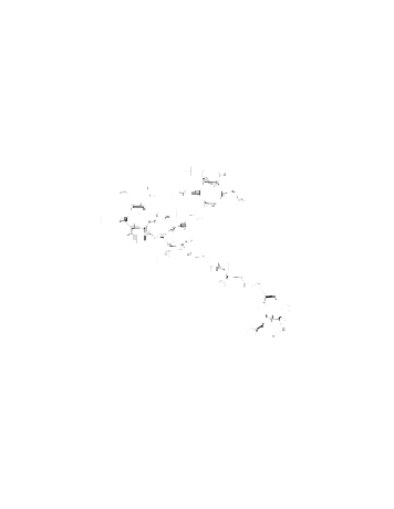 O=C(COCC(=O)ON1C(=O)CCC1=O)NCCO[C@H]1O[C@H](CO[C@H]2O[C@H](CO)[C@@H](O)[C@H](O)[C@@H]2O)[C@@H](O)[C@H](O[C@H]2O[C@H](CO)[C@@H](O)[C@H](O)[C@@H]2O)[C@@H]1O